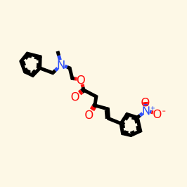 CN(CCOC(=O)CC(=O)C=Cc1cccc([N+](=O)[O-])c1)Cc1ccccc1